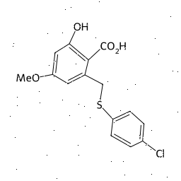 COc1cc(O)c(C(=O)O)c(CSc2ccc(Cl)cc2)c1